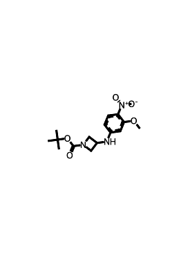 COc1cc(NC2CN(C(=O)OC(C)(C)C)C2)ccc1[N+](=O)[O-]